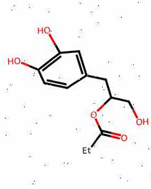 CCC(=O)OC(CO)Cc1ccc(O)c(O)c1